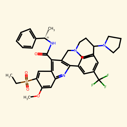 CCS(=O)(=O)c1cc2c(C(=O)N[C@@H](C)c3ccccc3)c(CN3CCC(N4CCCC4)CC3)c(-c3cccc(C(F)(F)F)c3)nc2cc1OC